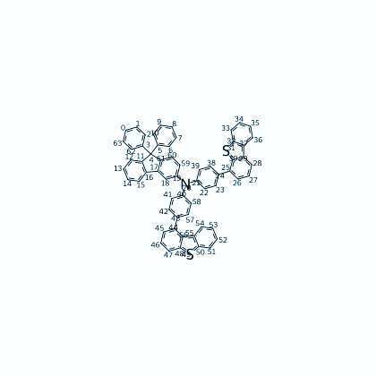 c1ccc(C2(c3ccccc3)c3ccccc3-c3cc(N(c4ccc(-c5cccc6c5sc5ccccc56)cc4)c4ccc(-c5cccc6sc7ccccc7c56)cc4)ccc32)cc1